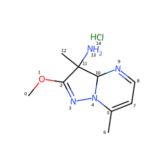 COC1=NN2C(C)=CC=NC2C1(C)N.Cl